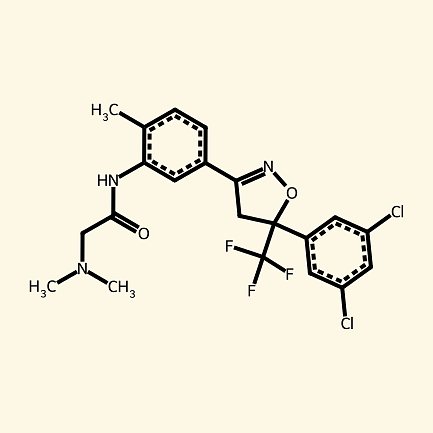 Cc1ccc(C2=NOC(c3cc(Cl)cc(Cl)c3)(C(F)(F)F)C2)cc1NC(=O)CN(C)C